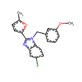 COc1cccc(Cn2c(-c3ccc(C)o3)nc3cc(F)ccc32)c1